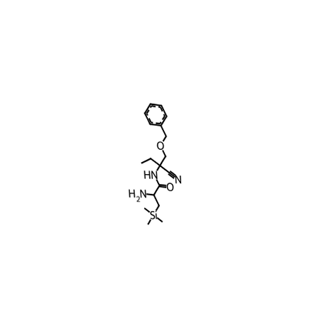 CCC(C#N)(COCc1ccccc1)NC(=O)C(N)C[Si](C)(C)C